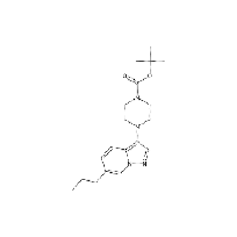 CCCc1ccc2c(N3CCN(C(=O)OC(C)(C)C)CC3)cnn2c1